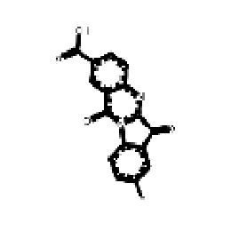 O=C(O)c1ccc2nc3n(c(=O)c2c1)-c1ccc(F)cc1C3=O